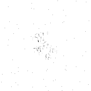 C#Cc1c(F)ccc2c1[C@@H](N1CCc3c(nc(OC[C@]4(C)C[C@@H](F)CN4Cc4ccncc4)nc3NCC3(N(C)C(=O)C=C)CCCC3)C1)C[C@@](C)(O)C2